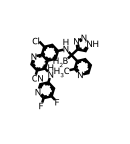 BC(Nc1cc(Cl)c2ncc(C#N)c(Nc3cnc(F)c(F)c3)c2c1)(c1c[nH]nn1)c1cccnc1C